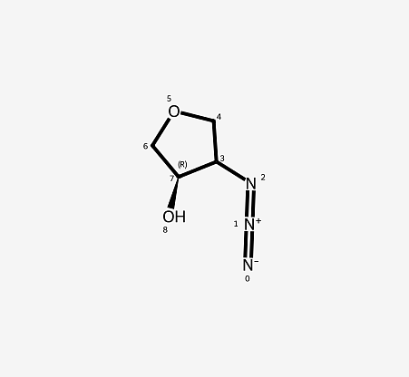 [N-]=[N+]=NC1COC[C@@H]1O